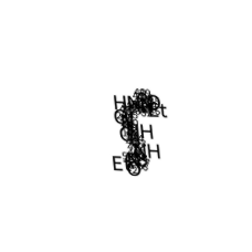 CCC(=O)N1c2ccccc2[C@H](Nc2ccc(C(=O)NC3CN(C(=O)C4CCC(N[C@@H]5C[C@H](C)N(C(=O)CC)c6ccccc65)CC4)C3)cc2)C[C@@H]1C